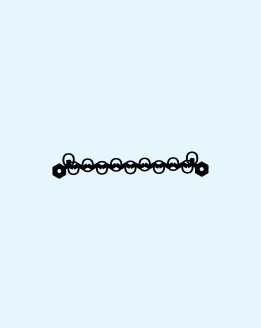 O=C(OCCOCCOCCOCCOCCOCCOCCOCCOC(=O)c1ccccc1)c1ccccc1